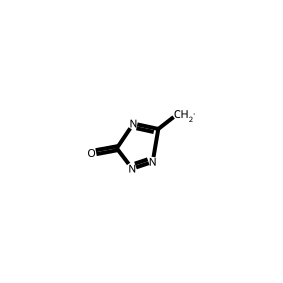 [CH2]C1=NC(=O)N=N1